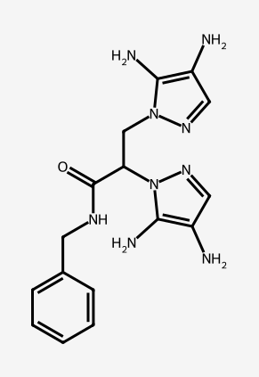 Nc1cnn(CC(C(=O)NCc2ccccc2)n2ncc(N)c2N)c1N